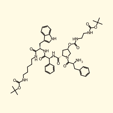 CC(C)(C)OC(=O)NCCCCCNC(=O)[C@@H](Cc1c[nH]c2ccccc12)NC(=O)[C@@H](NC(=O)[C@@H]1C[C@@H](OC(=O)NCCNC(=O)OC(C)(C)C)CN1C(=O)[C@@H](N)Cc1ccccc1)c1ccccc1